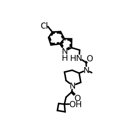 CN(C(=O)NCc1cc2cc(Cl)ccc2[nH]1)C1CCCN(C(=O)CC2(O)CCC2)C1